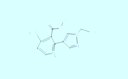 CCn1cc(-c2c(C(=O)OC)c(N)cc[n+]2[O-])cn1